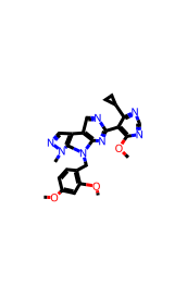 COc1ccc(Cn2c3nc(-c4c(OC)ncnc4C4CC4)ncc3c3cnn(C)c32)c(OC)c1